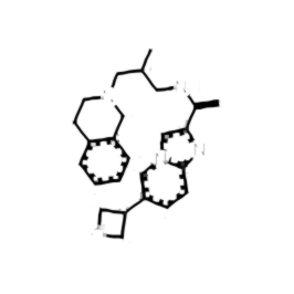 C=C(NCC(C)CN1CCc2ccccc2C1)c1cn2cc(C3COC3)ccc2n1